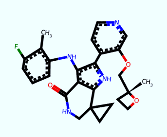 Cc1c(F)cccc1Nc1c(-c2ccncc2OC[C@@]2(C)CCO2)[nH]c2c1C(=O)NCC21CC1